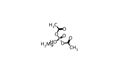 CC(=O)OP(=O)(O)OC(C)=O.[MgH2]